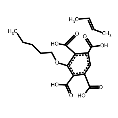 CC=CC.CCCCCOc1c(C(=O)O)c(C(=O)O)cc(C(=O)O)c1C(=O)O